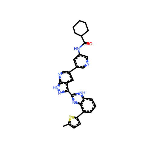 Cc1ccc(-c2cccc3[nH]c(-c4n[nH]c5ncc(-c6cncc(NC(=O)C7CCCCC7)c6)cc45)nc23)s1